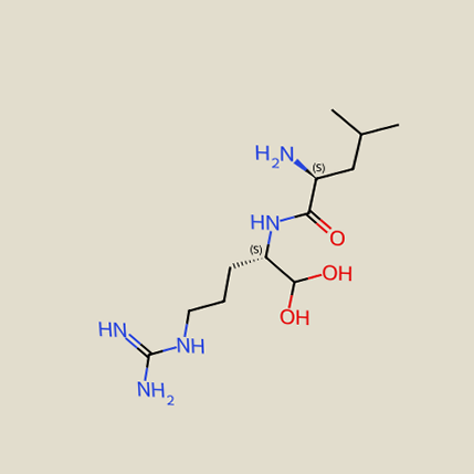 CC(C)C[C@H](N)C(=O)N[C@@H](CCCNC(=N)N)C(O)O